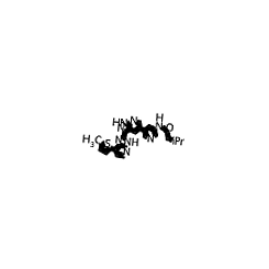 Cc1ccc(-c2ccnc3[nH]c(-c4n[nH]c5ncc(-c6cncc(NC7OC7CC(C)C)c6)cc45)nc23)s1